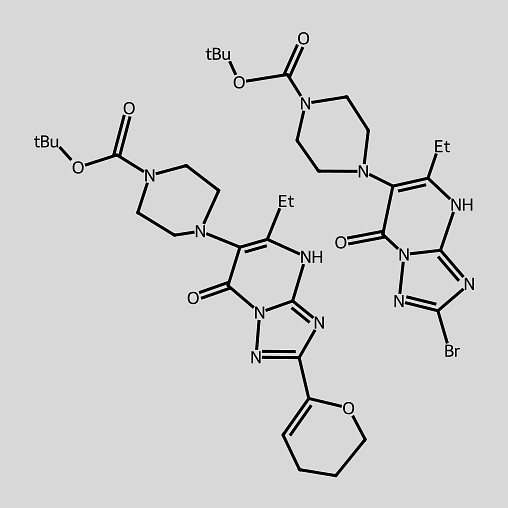 CCc1[nH]c2nc(Br)nn2c(=O)c1N1CCN(C(=O)OC(C)(C)C)CC1.CCc1[nH]c2nc(C3=CCCCO3)nn2c(=O)c1N1CCN(C(=O)OC(C)(C)C)CC1